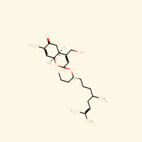 CC(C)=CCC(C)CCC[C@H]1CCC[C@]2(C=C(CO)[C@H]3CC(=O)C(C)=C[C@H]3O2)O1